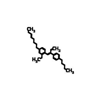 C=C/C(=C\c1ccc(CCCC/C=C/CC)cc1CC)c1ccc(CCCCC)cc1